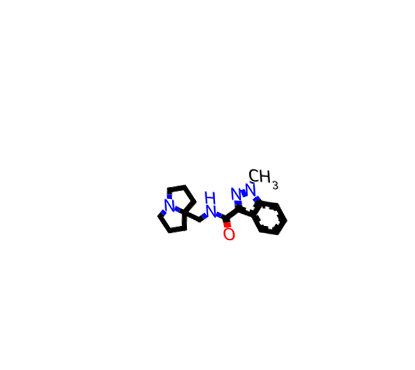 Cn1nc(C(=O)NCC23CCCN2CCC3)c2ccccc21